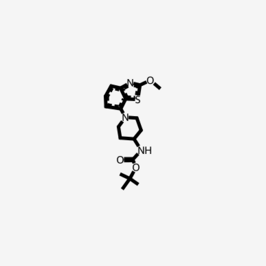 COc1nc2cccc(N3CCC(NC(=O)OC(C)(C)C)CC3)c2s1